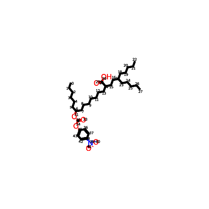 CCCCCCC(CCCCCCCC(CCC(CCCCC)CCCCC)C(=O)O)OC(=O)Oc1ccc([N+](=O)[O-])cc1